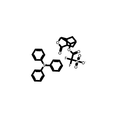 O=C1OC2C3CC(CC13)C2OC(=O)C(F)(F)S(=O)(=O)[O-].c1ccc([S+](c2ccccc2)c2ccccc2)cc1